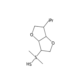 CC(C)C1COC2C1OCC2S(C)(C)S